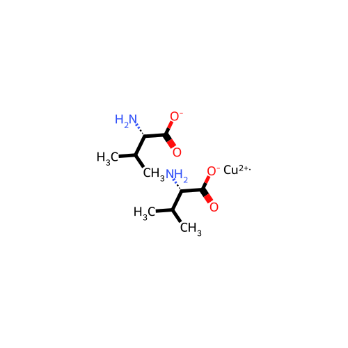 CC(C)[C@H](N)C(=O)[O-].CC(C)[C@H](N)C(=O)[O-].[Cu+2]